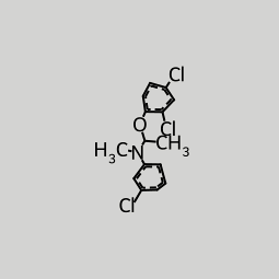 CC(Oc1ccc(Cl)cc1Cl)N(C)c1cccc(Cl)c1